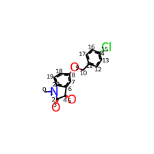 CN1C(=O)C(=O)c2cc(OCc3ccc(Cl)cc3)ccc21